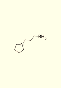 BCCCN1CCCC1